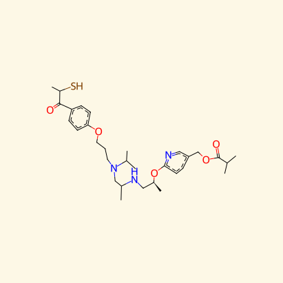 CC(CN(CCCOc1ccc(C(=O)C(C)S)cc1)C(C)C)NC[C@H](C)Oc1ccc(COC(=O)C(C)C)cn1